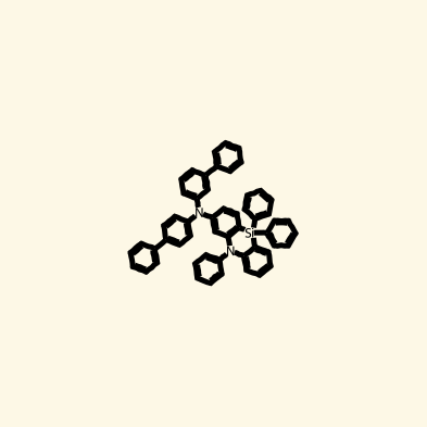 c1ccc(-c2ccc(N(c3cccc(-c4ccccc4)c3)c3ccc4c(c3)N(c3ccccc3)c3ccccc3[Si]4(c3ccccc3)c3ccccc3)cc2)cc1